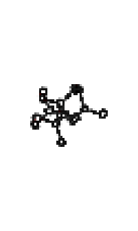 C(#Cc1cc(C#Cc2ccccc2)cc(C23CC4CC(C2)CC(C25CC6(c7cc(C#Cc8ccccc8)cc(C#Cc8ccccc8)c7)CC(c7cc(C#Cc8ccccc8)cc(C#Cc8ccccc8)c7)(CC(c7cc(C#Cc8ccccc8)cc(C#Cc8ccccc8)c7)(C6)C2)C5)(C4)C3)c1)c1ccccc1